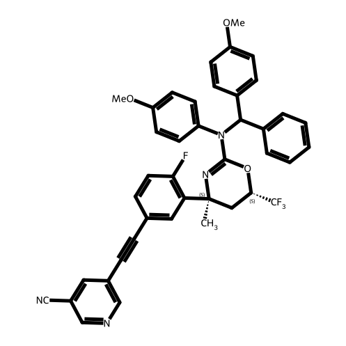 COc1ccc(C(c2ccccc2)N(C2=N[C@](C)(c3cc(C#Cc4cncc(C#N)c4)ccc3F)C[C@@H](C(F)(F)F)O2)c2ccc(OC)cc2)cc1